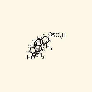 C[C@]12CC[C@H](OS(=O)(=O)O)CC1=CC[C@@H]1[C@@H]2CC[C@]2(C)C(O)CC[C@@H]12